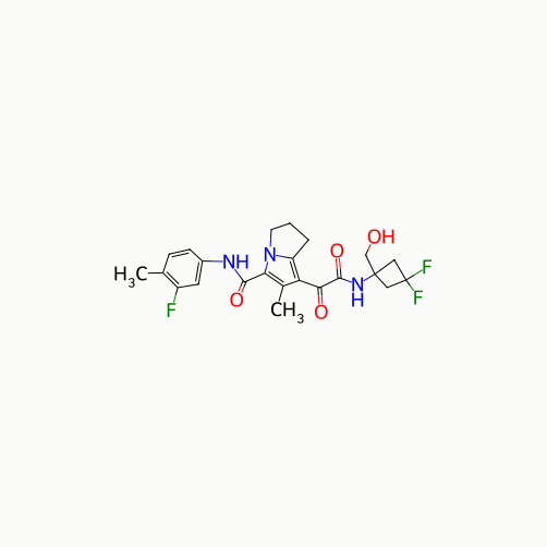 Cc1ccc(NC(=O)c2c(C)c(C(=O)C(=O)NC3(CO)CC(F)(F)C3)c3n2CCC3)cc1F